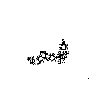 Cc1cc2c(Oc3ccc(NC(=O)C4(C(=O)Nc5ccc(F)cc5)CC4)cc3)ccnc2cc1-c1cnn(C)c1